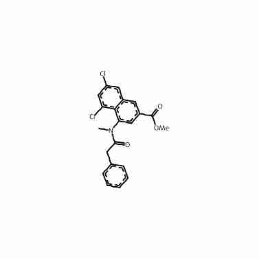 COC(=O)c1cc(N(C)C(=O)Cc2ccccc2)c2c(Cl)cc(Cl)cc2c1